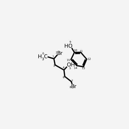 CC(Br)CC(O)CCBr.Oc1ccccc1